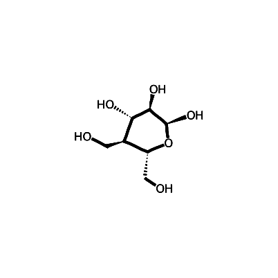 OC[C@H]1[C@H](O)[C@@H](O)[C@@H](O)O[C@@H]1CO